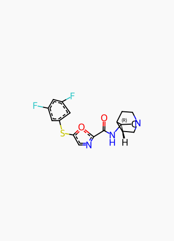 O=C(N[C@H]1CN2CCC1CC2)c1ncc(Sc2cc(F)cc(F)c2)o1